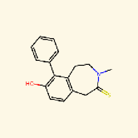 CN1CCc2c(ccc(O)c2-c2ccccc2)CC1=S